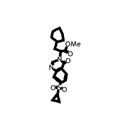 COC(=O)C(CC1CCCCC1)n1cnc2cc(S(=O)(=O)C3CC3)ccc2c1=O